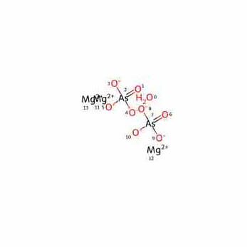 O.O=[As]([O-])([O-])[O-].O=[As]([O-])([O-])[O-].[Mg+2].[Mg+2].[Mg+2]